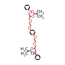 C=C(C)C(=O)OC(COCCOc1ccc(OCCOCC(COc2ccccc2)OC(C)C(=C)C)cc1)COc1ccccc1